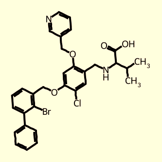 CC(C)C(NCc1cc(Cl)c(OCc2cccc(-c3ccccc3)c2Br)cc1OCc1cccnc1)C(=O)O